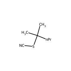 [CH2]CCC(C)(C)SC#N